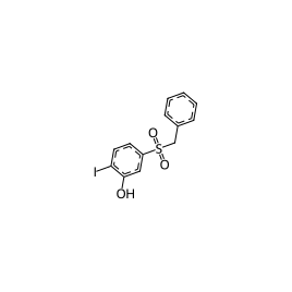 O=S(=O)(Cc1ccccc1)c1ccc(I)c(O)c1